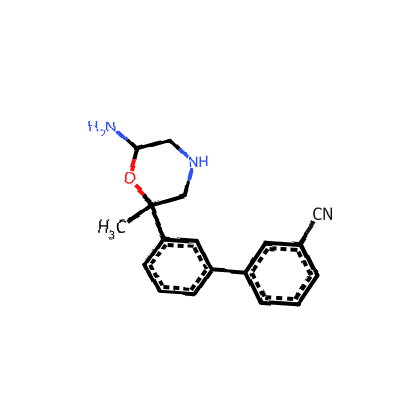 CC1(c2cccc(-c3cccc(C#N)c3)c2)CNCC(N)O1